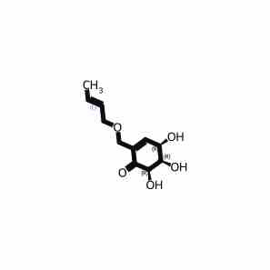 C/C=C/COCC1=C[C@@H](O)[C@@H](O)[C@@H](O)C1=O